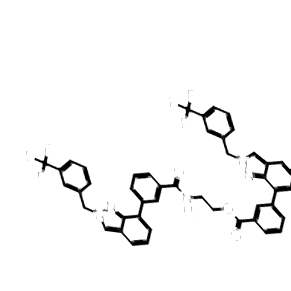 O=C(NCCOC(=O)c1cccc(-c2cccc3cn(Cc4cccc(C(F)(F)F)c4)nc23)c1)c1cccc(-c2cccc3cn(Cc4cccc(C(F)(F)F)c4)nc23)c1